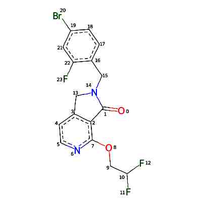 O=C1c2c(ccnc2OCC(F)F)CN1Cc1ccc(Br)cc1F